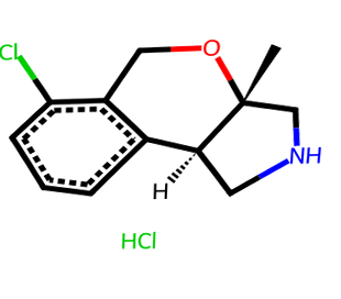 C[C@@]12CNC[C@H]1c1cccc(Cl)c1CO2.Cl